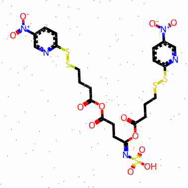 O=C(CCCSSc1ccc([N+](=O)[O-])cn1)OC(=O)CC/C(=N/S(=O)(=O)O)OC(=O)CCCSSc1ccc([N+](=O)[O-])cn1